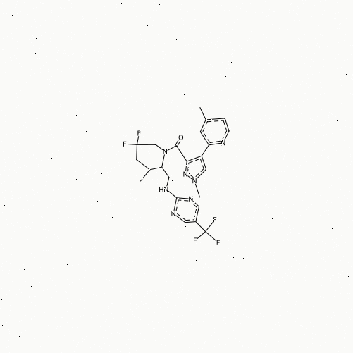 Cc1ccnc(-c2cn(C)nc2C(=O)N2CC(F)(F)CC(C)C2CNc2ncc(C(F)(F)F)cn2)c1